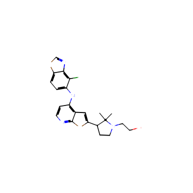 CC1(C)C(c2cc3c(Nc4ccc5scnc5c4F)ccnc3s2)CCN1CCO